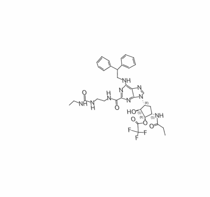 CCNC(=O)NCCNC(=O)c1nc(NCC(c2ccccc2)c2ccccc2)c2ncn([C@@H]3C[C@H](NC(=O)CC)[C@@H](OC(=O)C(F)(F)F)[C@H]3O)c2n1